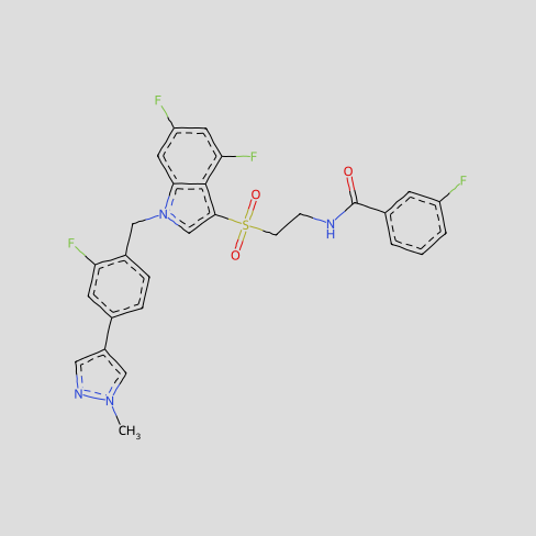 Cn1cc(-c2ccc(Cn3cc(S(=O)(=O)CCNC(=O)c4cccc(F)c4)c4c(F)cc(F)cc43)c(F)c2)cn1